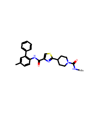 CCCCNC(=O)N1CCC(c2nc(C(=O)Nc3ccc(C)cc3-c3ccccc3)cs2)CC1